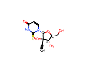 C#CC1(O)[C@@H](O)[C@@H](CO)O[C@H]1n1ccc(=O)[nH]c1=S